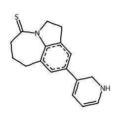 S=C1CCCc2cc(C3=CC=CNC3)cc3c2N1CC3